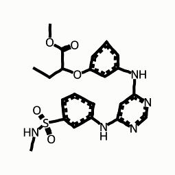 CCC(Oc1cccc(Nc2cc(Nc3cccc(S(=O)(=O)NC)c3)ncn2)c1)C(=O)OC